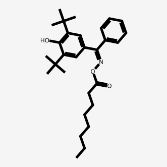 CCCCCCCC(=O)ON=C(c1ccccc1)c1cc(C(C)(C)C)c(O)c(C(C)(C)C)c1